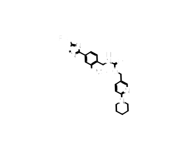 COc1cc(-c2noc(C(F)(F)F)n2)ccc1CNC(=O)OCc1ccc(N2CCCCC2)nc1